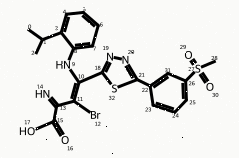 CC(C)c1ccccc1N/C(=C(/Br)C(=N)C(=O)O)c1nnc(-c2cccc(S(C)(=O)=O)c2)s1